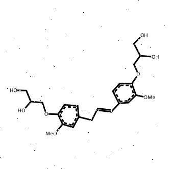 COc1cc(/C=C/Cc2ccc(OCC(O)CO)c(OC)c2)ccc1OCC(O)CO